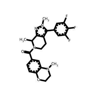 CC1c2nn(C)c(-c3cc(F)c(F)c(F)c3)c2CCN1C(=O)c1ccc2c(c1)N(C)CCO2